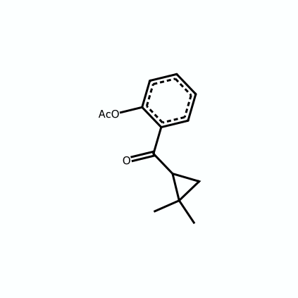 CC(=O)Oc1ccccc1C(=O)C1CC1(C)C